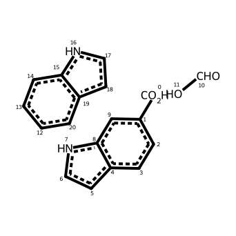 O=C(O)c1ccc2cc[nH]c2c1.O=CO.c1ccc2[nH]ccc2c1